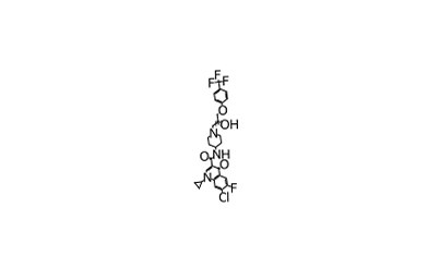 O=C(NC1CCN(C[C@@H](O)COc2ccc(C(F)(F)F)cc2)CC1)c1cn(C2CC2)c2cc(Cl)c(F)cc2c1=O